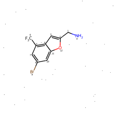 NCc1cc2c(C(F)(F)F)cc(Br)cc2o1